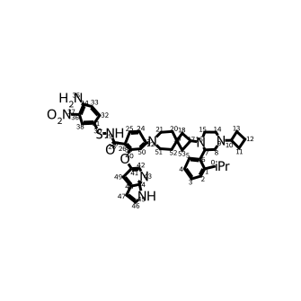 CC(C)c1ccccc1C1CN(C2CCC2)CCN1C1CC2(CCN(c3ccc(C(=O)NSc4ccc(N)c([N+](=O)[O-])c4)c(Oc4cnc5[nH]ccc5c4)c3)CC2)C1